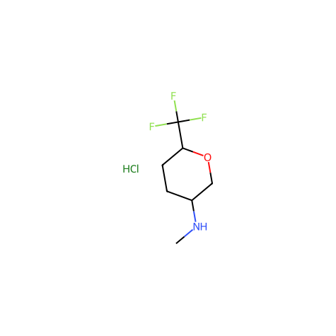 CNC1CCC(C(F)(F)F)OC1.Cl